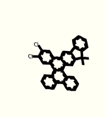 CC1(C)c2ccccc2-c2cc3c4cc(Cl)c(Cl)cc4c4c5ccccc5c5ccccc5c4c3cc21